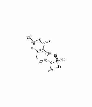 CC[PH](CC)(CC)C(C(=O)Nc1c(C)cc(Cl)cc1C)C(C)C